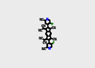 N#CC(C#N)=C1C(c2cc(C#N)ncc2F)=C(C#N)c2cc3c(cc21)C(=C(C#N)C#N)C(c1cc(C#N)ncc1F)=C3C#N